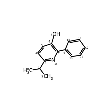 CC(C)c1ccc(O)c(-c2ccccc2)n1